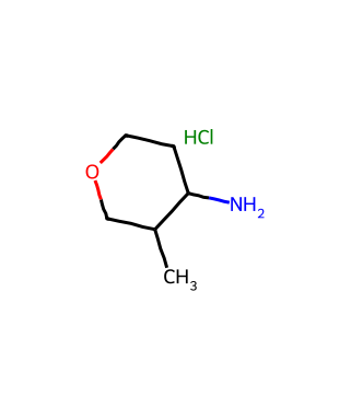 CC1COCCC1N.Cl